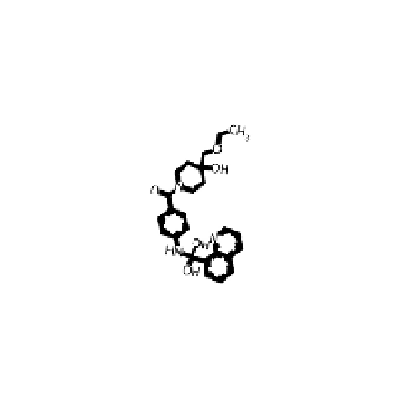 CCOCC1(O)CCN(C(=O)c2ccc(NC(O)(O)c3cccc4cccnc34)cc2)CC1